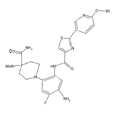 CNC1(C(N)=O)CCN(c2cc(F)c(N)cc2NC(=O)c2csc(-c3ccc(OC(C)C)nc3)n2)CC1